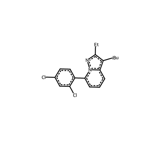 CCc1nn2c(-c3ccc(Cl)cc3Cl)cccc2c1C(C)CC